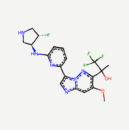 COc1cc2ncc(-c3cccc(N[C@H]4CNC[C@@H]4F)n3)n2nc1C(C)(O)C(F)(F)F